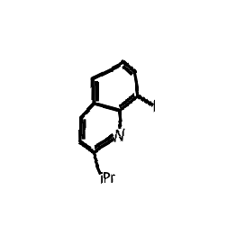 CC(C)c1ccc2cccc(I)c2n1